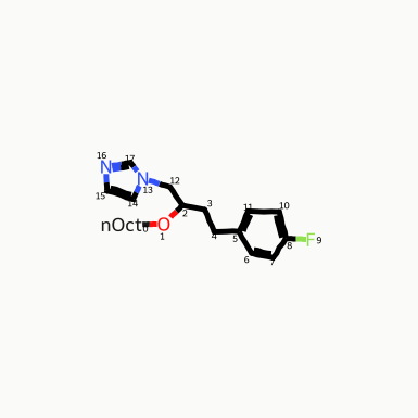 CCCCCCCCOC(CCc1ccc(F)cc1)Cn1ccnc1